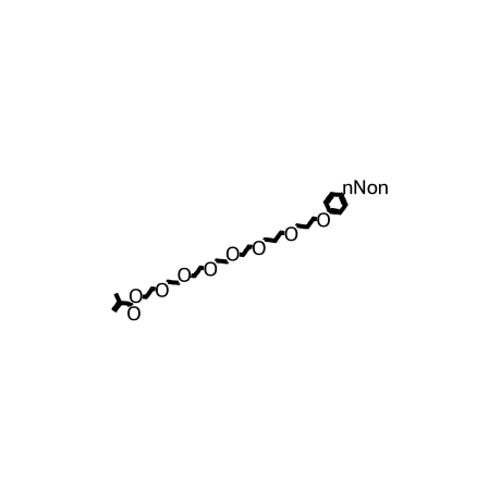 C=C(C)C(=O)OCCOCCOCCOCCOCCOCCCOCCCOc1ccc(CCCCCCCCC)cc1